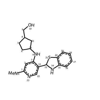 CNc1cc(NC2CCC(CO)C2)c(C2Nc3ccccc3S2)cn1